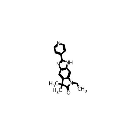 CCN1C(=O)C(C)(C)c2cc3nc(-c4ccncc4)[nH]c3cc21